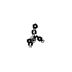 COc1ccc(CC(CN2CCN(c3ccccc3)CC2)N(C)S(=O)(=O)c2cccc3cnccc23)cc1